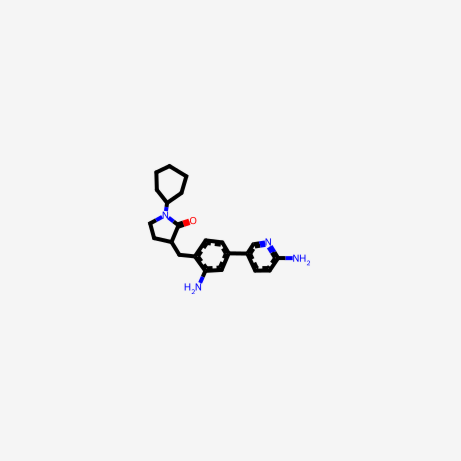 Nc1ccc(-c2ccc(CC3CCN(C4CCCCC4)C3=O)c(N)c2)cn1